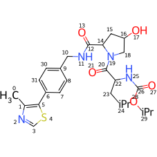 Cc1ncsc1-c1ccc(CNC(=O)C2CC(O)CN2C(=O)C(CC(C)C)NC(=O)OC(C)C)cc1